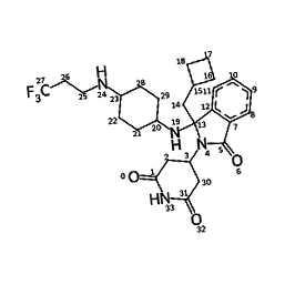 O=C1CC(N2C(=O)c3ccccc3C2(CC2CCC2)NC2CCC(NCCC(F)(F)F)CC2)CC(=O)N1